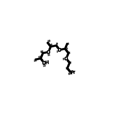 CC(C)CCOCC(C)OCC(C)OCC(C)O